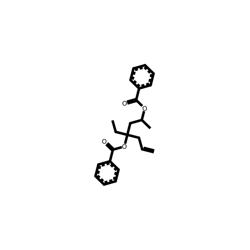 C=CCC(CC)(CC(C)OC(=O)c1ccccc1)OC(=O)c1ccccc1